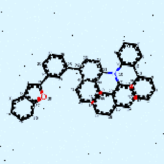 c1ccc(-c2ccccc2N(c2cccc3ccccc23)c2ccc(-c3cccc(-c4cc5ccccc5o4)c3)c3ccccc23)cc1